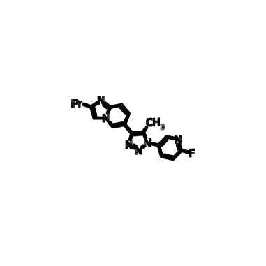 Cc1c(-c2ccc3nc(C(C)C)cn3c2)nnn1-c1ccc(F)nc1